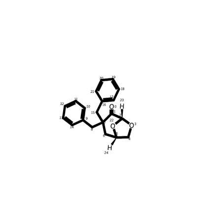 O=C1[C@@H]2OC[C@H](CC1(Cc1ccccc1)Cc1ccccc1)O2